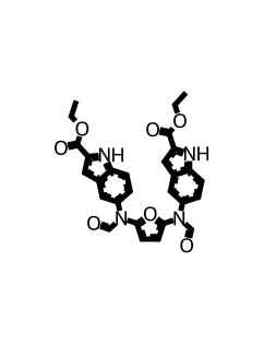 CCOC(=O)c1cc2cc(N(C=O)c3ccc(N(C=O)c4ccc5[nH]c(C(=O)OCC)cc5c4)o3)ccc2[nH]1